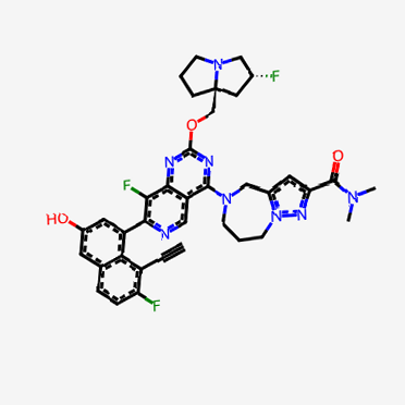 C#Cc1c(F)ccc2cc(O)cc(-c3ncc4c(N5CCCn6nc(C(=O)N(C)C)cc6C5)nc(OC[C@@]56CCCN5C[C@H](F)C6)nc4c3F)c12